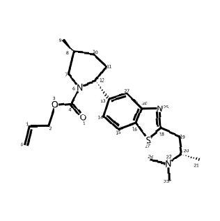 C=CCOC(=O)N1C[C@@H](C)CC[C@@H]1c1ccc2sc(C[C@H](C)N(C)C)nc2c1